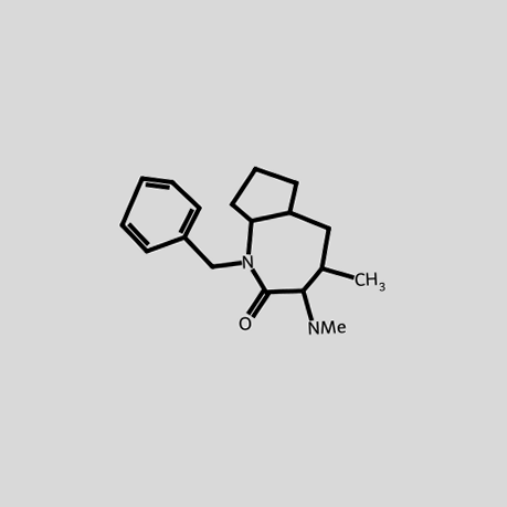 CNC1C(=O)N(Cc2ccccc2)C2CCCC2CC1C